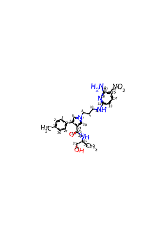 Cc1ccc(-c2cn(CCCNc3ccc([N+](=O)[O-])c(N)n3)cc2C(=O)N[C@@H](C)CO)cc1